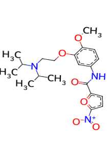 COc1ccc(NC(=O)c2ccc([N+](=O)[O-])o2)cc1OCCN(C(C)C)C(C)C